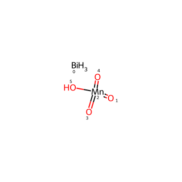 [BiH3].[O]=[Mn](=[O])(=[O])[OH]